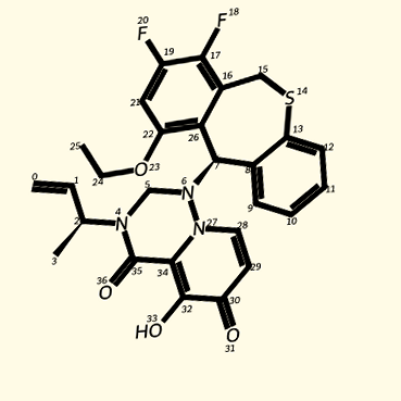 C=C[C@H](C)N1CN([C@@H]2c3ccccc3SCc3c(F)c(F)cc(OCC)c32)n2ccc(=O)c(O)c2C1=O